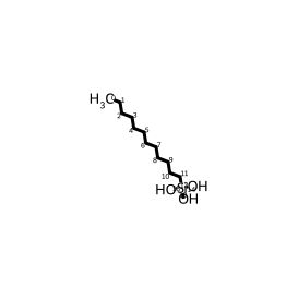 CCCCCCCCCCCC[Si](O)(O)O